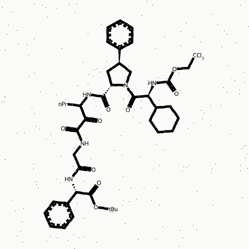 CCCC(NC(=O)[C@@H]1C[C@@H](c2ccccc2)CN1C(=O)[C@@H](NC(=O)OCC(Cl)(Cl)Cl)C1CCCCC1)C(=O)C(=O)NCC(=O)N[C@H](C(=O)OC(C)(C)C)c1ccccc1